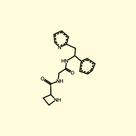 O=C(CNC(=O)C1CCN1)NC(Cc1ccccn1)c1ccccc1